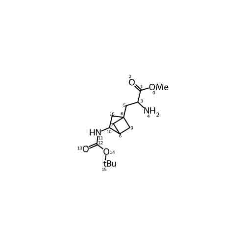 COC(=O)C(N)CC12CC(C1)C(NC(=O)OC(C)(C)C)C2